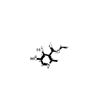 CCOC(=O)c1c(C)ncc(O)c1O